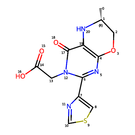 C[C@@H]1COc2nc(-c3cscn3)n(CC(=O)O)c(=O)c2N1